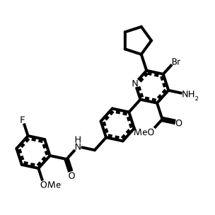 COC(=O)c1c(-c2ccc(CNC(=O)c3cc(F)ccc3OC)cc2)nc(C2CCCC2)c(Br)c1N